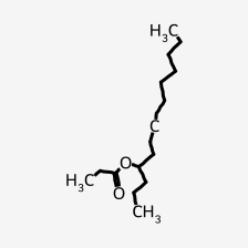 CCCCCCCCCCC(CCC)OC(=O)CC